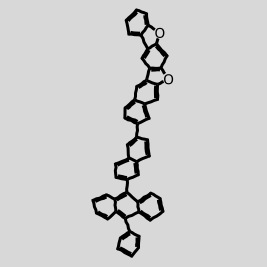 c1ccc(-c2c3ccccc3c(-c3ccc4cc(-c5ccc6cc7c(cc6c5)oc5cc6oc8ccccc8c6cc57)ccc4c3)c3ccccc23)cc1